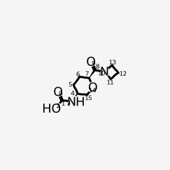 O=C(O)N[C@@H]1CC[C@@H](C(=O)N2CCC2)OC1